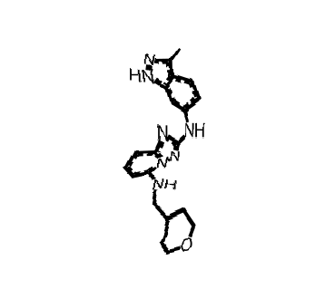 Cc1n[nH]c2cc(Nc3nc4cccc(NCC5CCOCC5)n4n3)ccc12